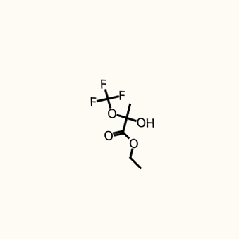 CCOC(=O)C(C)(O)OC(F)(F)F